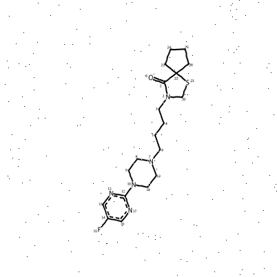 O=C1N(CCCCN2CCN(c3ncc(F)cn3)CC2)CSC12CCCC2